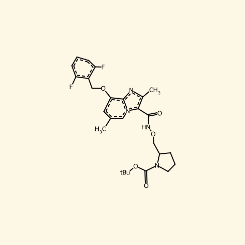 Cc1cc(OCc2c(F)cccc2F)c2nc(C)c(C(=O)NOCC3CCCN3C(=O)OC(C)(C)C)n2c1